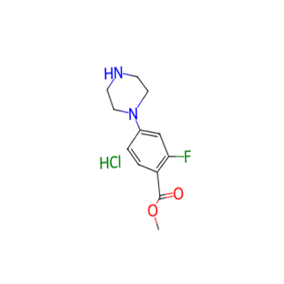 COC(=O)c1ccc(N2CCNCC2)cc1F.Cl